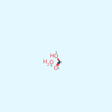 O.O=CO